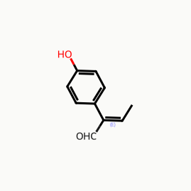 C/C=C(/C=O)c1ccc(O)cc1